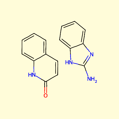 Nc1nc2ccccc2[nH]1.O=c1ccc2ccccc2[nH]1